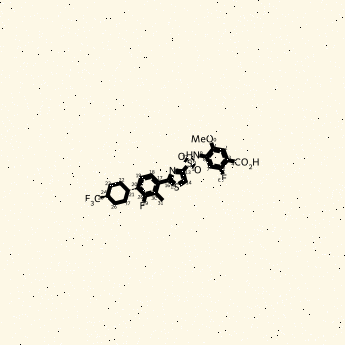 COc1cc(C(=O)O)c(F)cc1NS(=O)(=O)c1csc(-c2ccc([C@H]3CC[C@H](C(F)(F)F)CC3)c(F)c2C)n1